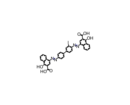 O=C(O)c1cc(/N=N/c2ccc(-c3ccc(/N=N/c4cc(C(=O)O)c(O)c5ccccc45)c(I)c3)cc2)c2ccccc2c1O